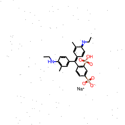 CCN=C1C=CC(=C(c2ccc(NCC)c(C)c2)c2ccc(S(=O)(=O)[O-])cc2S(=O)(=O)O)C=C1C.[Na+]